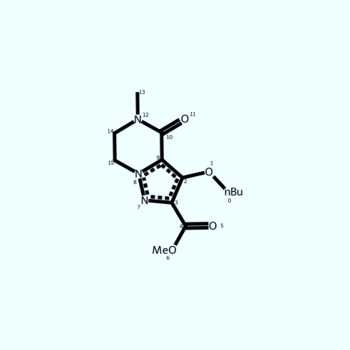 CCCCOc1c(C(=O)OC)nn2c1C(=O)N(C)CC2